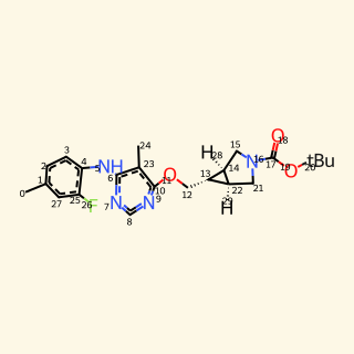 Cc1ccc(Nc2ncnc(OC[C@@H]3[C@H]4CN(C(=O)OC(C)(C)C)C[C@@H]34)c2C)c(F)c1